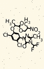 Cc1nn(-c2cc(OC(C)C(=O)OCC(C)[N+](=O)[O-])c(Cl)cc2Cl)c(=O)n1C(F)F